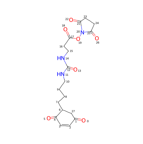 O=C1C=CC(=O)C(CCCCNC(=O)NCCC(=O)ON2C(=O)CCC2=O)C1